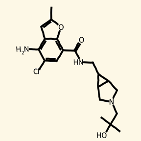 Cc1cc2c(N)c(Cl)cc(C(=O)NCC3C4CN(CC(C)(C)O)CC34)c2o1